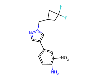 Nc1ccc(-c2cnn(CC3CC(F)(F)C3)c2)cc1[N+](=O)[O-]